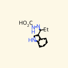 CC/C(=N/NC(=O)O)c1c[nH]c2ccccc12